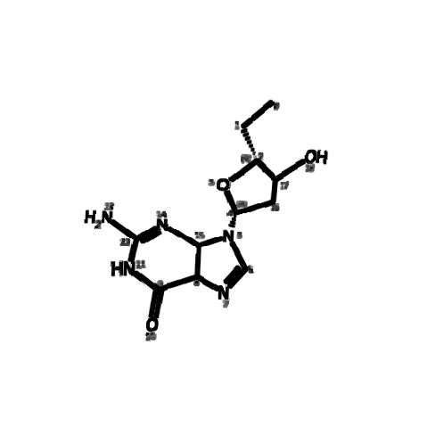 CC[C@H]1O[C@@H](N2C=NC3C(=O)NC(N)=NC32)CC1O